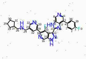 Fc1ccc(-c2cncc3[nH]c(-c4n[nH]c5cnc(-c6cncc(CNCC7CCCC7)c6)c(F)c45)nc23)cc1